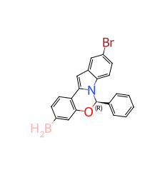 Bc1ccc2c(c1)O[C@H](c1ccccc1)n1c-2cc2cc(Br)ccc21